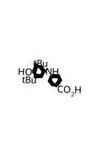 CC(C)(C)c1cc(Nc2ccc(C(=O)O)cc2)cc(C(C)(C)C)c1O